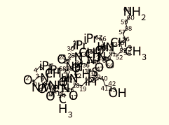 CNC(=O)[C@H](CC(C)C)N(C)C(=O)NC(=O)[C@@H](C)NC(=O)[C@H](CC(C)C)N(C)C(=O)[C@@H](NC(=O)[C@H](CC(C)C)N(C)C(=O)[C@@H](CSCCCCO)N(C)C(=O)NC(=O)C(C[C@H](C)CCCCCCN)N(C)C(=O)CC(C)C)C(C)C